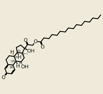 CCCCCCCCCCCCCCCC(=O)OCC(=O)[C@@]1(O)CC[C@H]2[C@@H]3CCC4=CC(=O)C=C[C@]4(C)[C@H]3[C@@H](O)C[C@@]21C